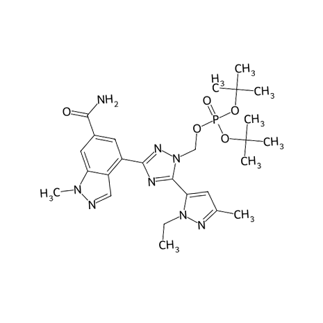 CCn1nc(C)cc1-c1nc(-c2cc(C(N)=O)cc3c2cnn3C)nn1COP(=O)(OC(C)(C)C)OC(C)(C)C